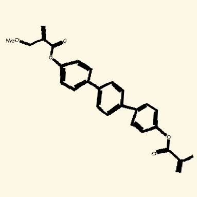 C=C(C)C(=O)Oc1ccc(-c2ccc(-c3ccc(OC(=O)C(=C)COC)cc3)cc2)cc1